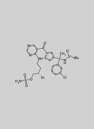 CC[C@@H](CCNc1ncncc1C(=O)c1cc(C(C)(N[S+]([O-])C(C)(C)C)c2cccc(Cl)c2)cs1)COS(N)(=O)=O